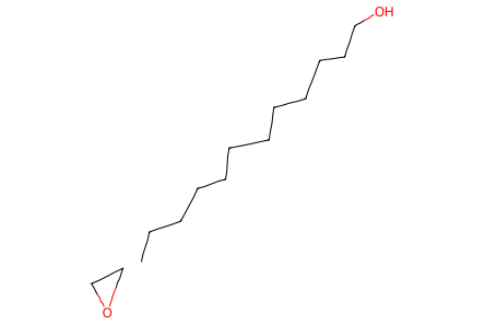 C1CO1.CCCCCCCCCCCCO